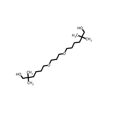 CC(C)(CO)CCCCOCCCOCCCCC(C)(C)CO